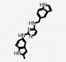 Cc1cc2cc(Nc3nccc(NCc4ccc5[nH]ccc5c4)n3)ccc2[nH]1